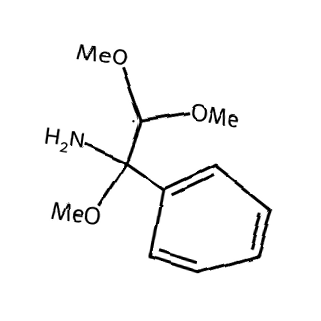 CO[C](OC)C(N)(OC)c1ccccc1